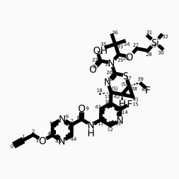 C#CCOc1cnc(C(=O)Nc2cnc(F)c([C@@]3(C)N=C(N(C(=O)O)C(OCC[Si](C)(C)C)C(C)(C)C)S[C@@]4(CF)C[C@H]43)c2)cn1